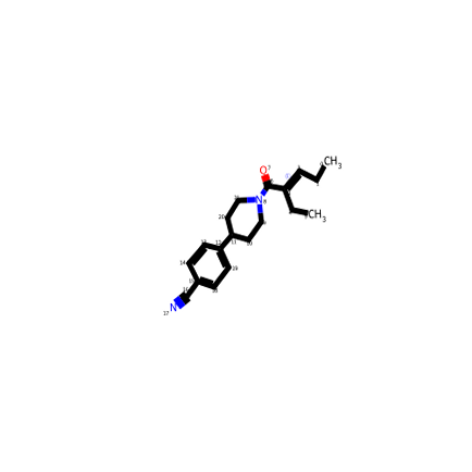 CC/C=C(\CC)C(=O)N1CCC(c2ccc(C#N)cc2)CC1